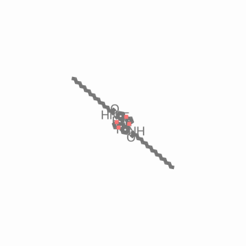 CCCCCCCCCCCCCCCCCC(=O)Nc1ccc(F)[c]([Ti]([C]2=CC=CC2)([C]2=CC=CC2)[c]2c(F)ccc(NC(=O)CCCCCCCCCCCCCCCCC)c2F)c1F